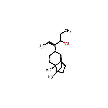 C/C=C(/C(O)CC)C1CCC2(C)C3CCC2(C)CC13